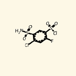 NS(=O)(=O)c1cc(S(=O)(=O)Cl)c(F)cc1Cl